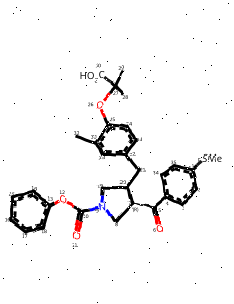 CSc1ccc(C(=O)[C@H]2CN(C(=O)Oc3ccccc3)CC2Cc2ccc(OC(C)(C)C(=O)O)c(C)c2)cc1